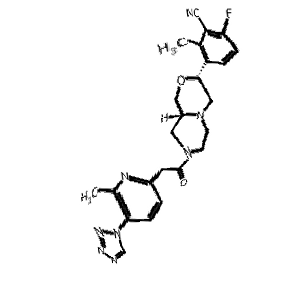 Cc1nc(CC(=O)N2CCN3C[C@@H](c4ccc(F)c(C#N)c4C)OC[C@H]3C2)ccc1-n1cnnn1